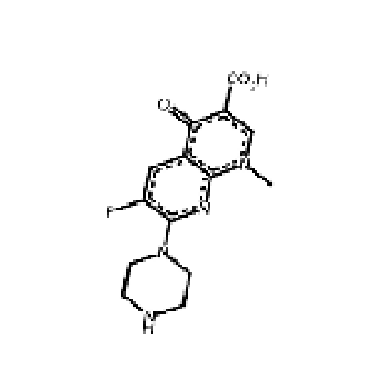 Cn1cc(C(=O)O)c(=O)c2cc(F)c(N3CCNCC3)nc21